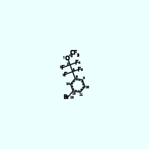 FC(F)(F)OC(F)(F)C(F)(F)c1cccc(Br)c1